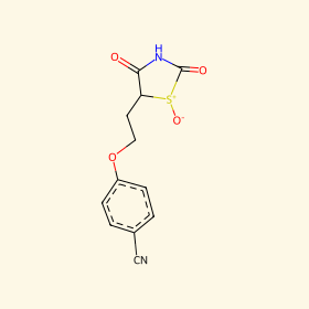 N#Cc1ccc(OCCC2C(=O)NC(=O)[S+]2[O-])cc1